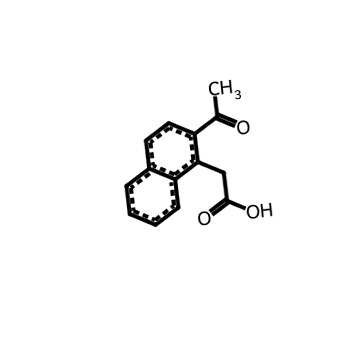 CC(=O)c1ccc2ccccc2c1CC(=O)O